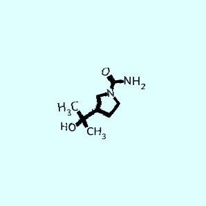 CC(C)(O)[C]1CCN(C(N)=O)C1